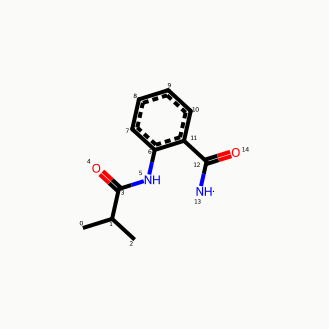 CC(C)C(=O)Nc1ccccc1C([NH])=O